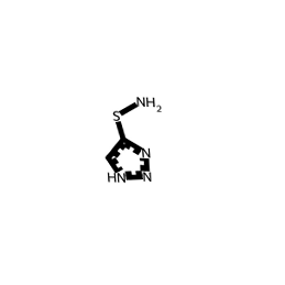 NSc1c[nH]nn1